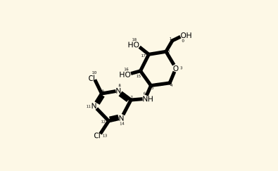 OCC1OCC(Nc2nc(Cl)nc(Cl)n2)C(O)C1O